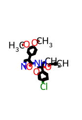 C#CCOC(C[CH2])(C(=O)Nc1oncc1-c1ccc(OC)c(OC)c1)c1ccc(Cl)cc1